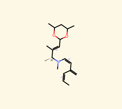 C=C(/C=C\C)/C=C\N(C)[C@H](C)/C(C)=C/C1OC(C)CC(C)O1